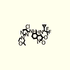 CC1CN(c2ncc(Cl)c(Nc3ccc4c(c3)c3c(c(=O)n4C)OCC(F)(F)C(C4CC4)N3)n2)CCO1